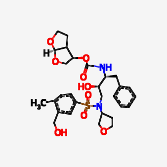 Cc1ccc(S(=O)(=O)N(C[C@@H](O)[C@H](Cc2ccccc2)NC(=O)O[C@H]2CO[C@H]3OCCC32)C2CCOC2)cc1CO